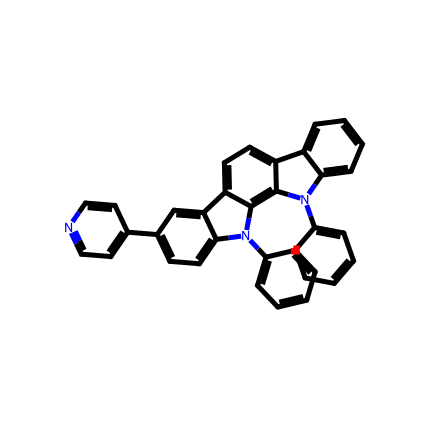 C1=CCCC(n2c3ccccc3c3ccc4c5cc(-c6ccncc6)ccc5n(-c5ccccc5)c4c32)=C1